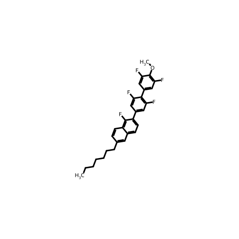 CCCCCCCc1ccc2c(F)c(-c3cc(F)c(-c4cc(F)c(OC)c(F)c4)c(F)c3)ccc2c1